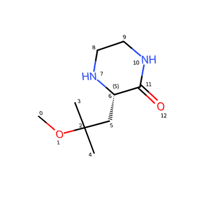 COC(C)(C)C[C@@H]1NCCNC1=O